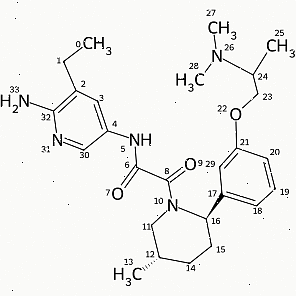 CCc1cc(NC(=O)C(=O)N2C[C@@H](C)CC[C@@H]2c2cccc(OCC(C)N(C)C)c2)cnc1N